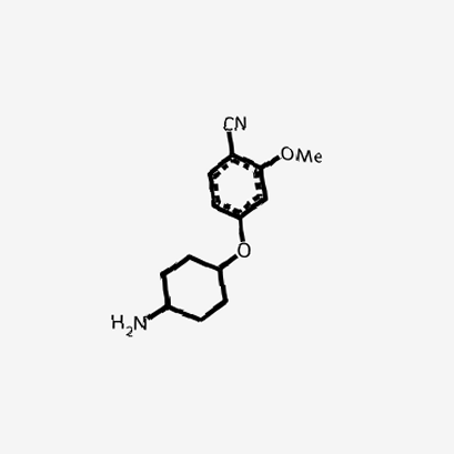 COc1cc(OC2CCC(N)CC2)ccc1C#N